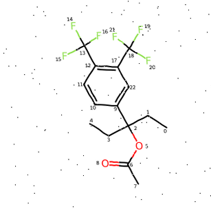 CCC(CC)(OC(C)=O)c1ccc(C(F)(F)F)c(C(F)(F)F)c1